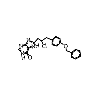 O=c1[nH]cnc2nc(CC(Cl)Cc3ccc(OCc4ccccc4)cc3)[nH]c12